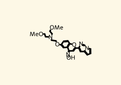 COCCN(CCOC)CCOc1ccc2oc(-c3cc4cccn4cn3)c/c(=N\O)c2c1